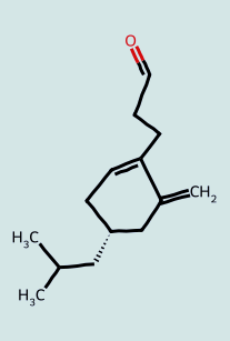 C=C1C[C@H](CC(C)C)CC=C1CCC=O